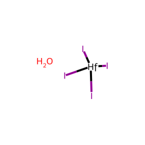 O.[I][Hf]([I])([I])[I]